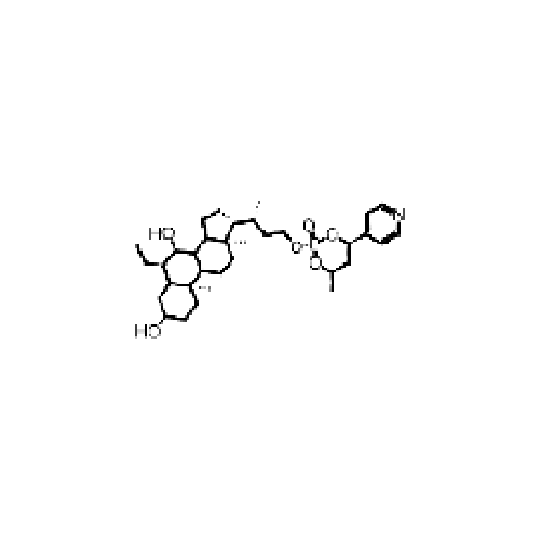 CC[C@@H]1C2C[C@H](O)CC[C@]2(C)C2CC[C@@]3(C)C(CC[C@@H]3[C@H](C)CCO[P@@]3(=O)OC(C)C[C@H](c4ccncc4)O3)C2[C@@H]1O